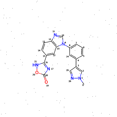 Cn1cc(-c2cccc(-n3cnc4ccc(-c5nc(=O)o[nH]5)cc43)c2)cn1